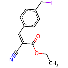 CCOC(=O)/C(C#N)=C\c1ccc(CI)cc1